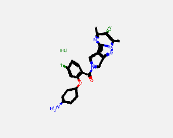 Cc1nc2c3c(nn2c(C)c1Cl)CN(C(=O)c1ccc(F)cc1OC1CCC(N)CC1)C3.Cl